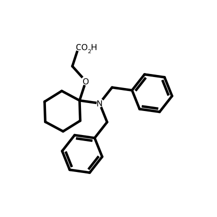 O=C(O)COC1(N(Cc2ccccc2)Cc2ccccc2)CCCCC1